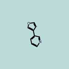 [c]1cocc1-c1cccnc1